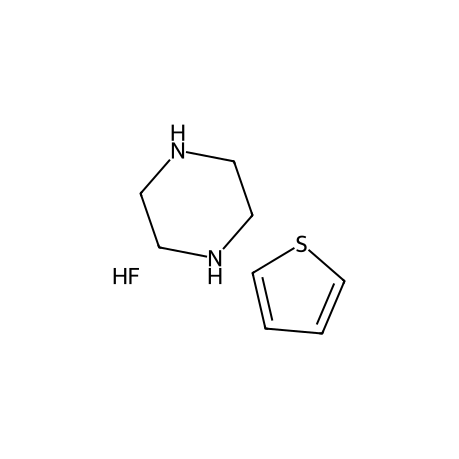 C1CNCCN1.F.c1ccsc1